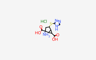 Cl.NC1(C(=O)O)CC(Sc2nnc[nH]2)C2C(C(=O)O)C21